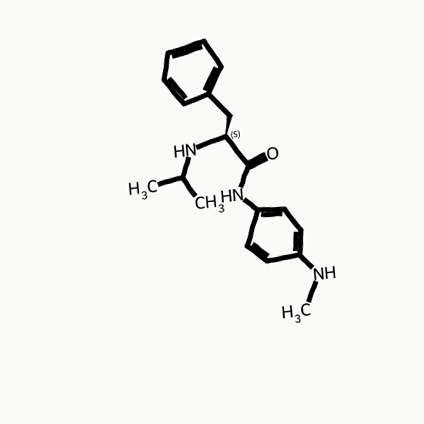 CNc1ccc(NC(=O)[C@H](Cc2ccccc2)NC(C)C)cc1